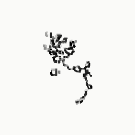 CCN(OCCOCCO)C(=O)c1ccc(CCC[N+]2(CCCc3ccc(OC)cc3)CCCC(NC(=O)c3nc(Cl)c(N)nc3N)C2)cc1.[Cl-]